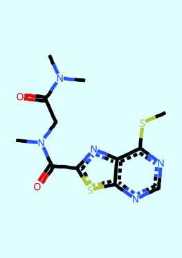 CSc1ncnc2sc(C(=O)N(C)CC(=O)N(C)C)nc12